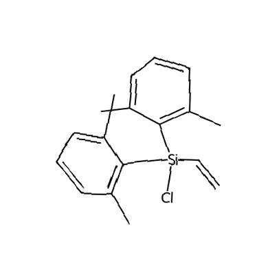 C=C[Si](Cl)(c1c(C)cccc1C)c1c(C)cccc1C